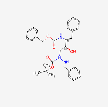 CC(C)(C)OC(=O)N(C[C@H](O)[C@H](Cc1ccccc1)NC(=O)OCc1ccccc1)NCc1ccccc1